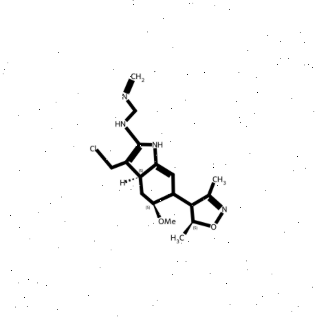 C=NCNC1=C(CCl)[C@@H]2C[C@H](OC)C(C3C(C)=NO[C@H]3C)C=C2N1